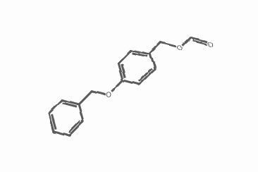 O=COCc1ccc(OCc2ccccc2)cc1